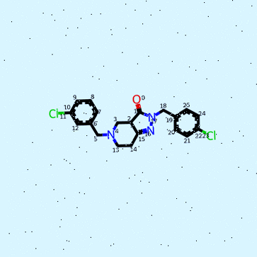 O=C1C2CN(Cc3cccc(Cl)c3)CCC2=NN1Cc1ccc(Cl)cc1